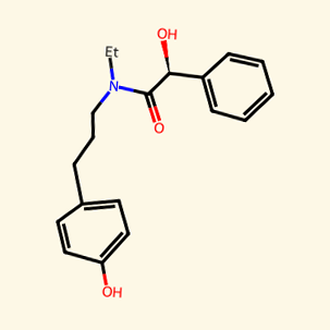 CCN(CCCc1ccc(O)cc1)C(=O)[C@@H](O)c1ccccc1